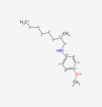 CCCCCCC(C)CNc1ccc(OC)cc1